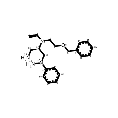 C=CN(CCOCc1ccccc1)[C@H](CN)CN(N)c1ccccc1